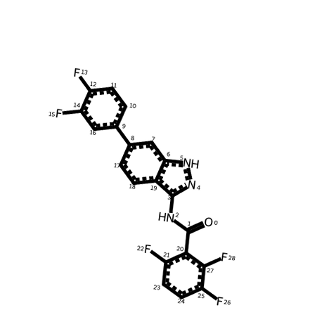 O=C(Nc1n[nH]c2cc(-c3ccc(F)c(F)c3)ccc12)c1c(F)ccc(F)c1F